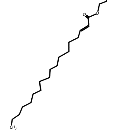 CCCCCCCCCCCCCCC/C=C/C(=O)OCCC